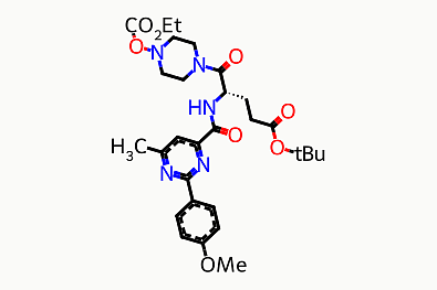 CCOC(=O)ON1CCN(C(=O)[C@H](CCC(=O)OC(C)(C)C)NC(=O)c2cc(C)nc(-c3ccc(OC)cc3)n2)CC1